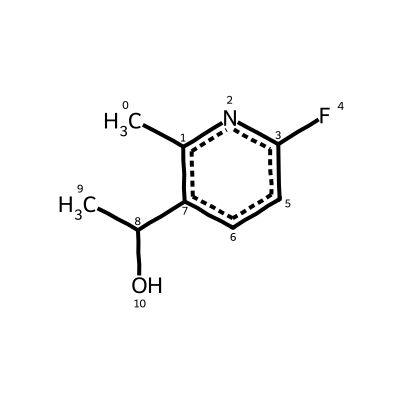 Cc1nc(F)ccc1C(C)O